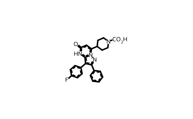 O=C(O)N1CCC(c2cc(=O)[nH]c3c(-c4ccc(F)cc4)c(-c4ccccc4)nn23)CC1